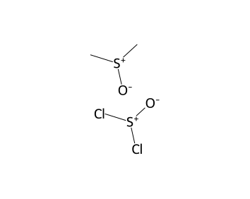 C[S+](C)[O-].[O-][S+](Cl)Cl